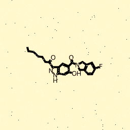 CCCCCCC(=O)c1n[nH]c2cc(O)c(C(=O)N3Cc4ccc(F)cc4C3)cc12